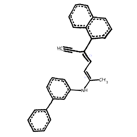 C#C/C(=C\C=C(/C)Nc1cccc(-c2ccccc2)c1)c1cccc2ccccc12